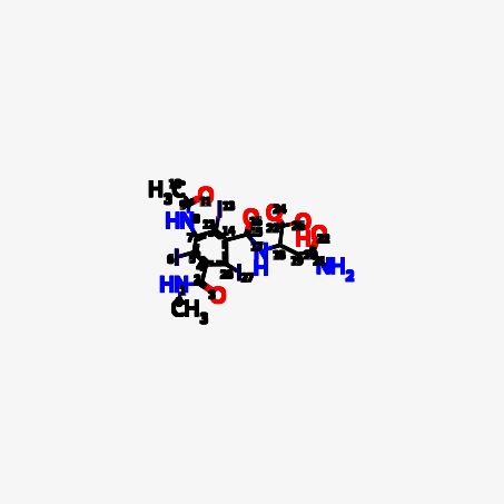 CNC(=O)c1c(I)c(NC(C)=O)c(I)c(C(=O)NC(CC(N)=O)C(=O)O)c1I